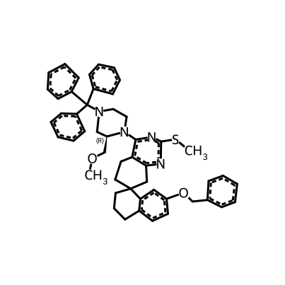 COC[C@H]1CN(C(c2ccccc2)(c2ccccc2)c2ccccc2)CCN1c1nc(SC)nc2c1CCC1(CCCc3ccc(OCc4ccccc4)cc31)C2